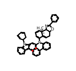 C[C@]12C=CC=C(N(c3ccc4c5ccccc5n(C5C=CC=CC5)c4c3)c3ccccc3-c3ccccc3)C1=CCC1OC(c3ccccc3)=NC12